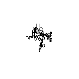 CCCOC(=O)CCC(=O)O[C@@H]1C([C@@H](C)CP(=O)(OCC)OCC)O[C@H](n2cc(C)c(=O)[nH]c2=O)[C@@H]1OCC(=O)NCCN(C)C